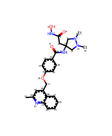 CCN1CC(CC(=O)NO)(NC(=O)c2ccc(OCc3cc(C)nc4ccccc34)cc2)CN1CC